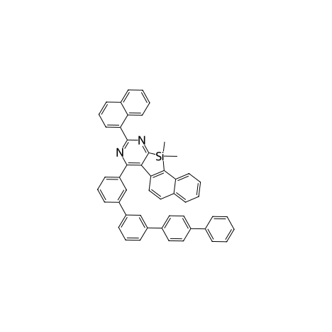 C[Si]1(C)c2nc(-c3cccc4ccccc34)nc(-c3cccc(-c4cccc(-c5ccc(-c6ccccc6)cc5)c4)c3)c2-c2ccc3ccccc3c21